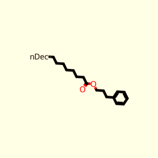 CCCCCCCCCCCCCCCCCC(=O)OCCCc1ccccc1